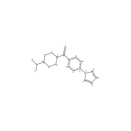 CC(C)N1CCN(C(=O)c2ccc(C3N=NN=N3)cc2)CC1